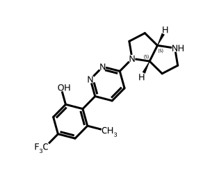 Cc1cc(C(F)(F)F)cc(O)c1-c1ccc(N2CC[C@@H]3NCC[C@@H]32)nn1